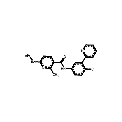 CCCNc1ccc(C(=O)Nc2ccc(Cl)c(-c3ccccn3)c2)c(C)n1